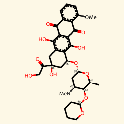 CN[C@H]1C[C@H](O[C@H]2C[C@](O)(C(=O)CO)Cc3c(O)c4c(c(O)c32)C(=O)c2c(OC)cccc2C4=O)O[C@@H](C)[C@H]1O[C@@H]1CCCCO1